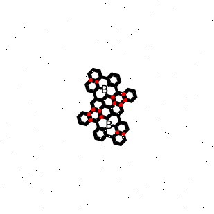 c1ccc(-c2cccc(-c3ccccc3)c2B2c3ccccc3-c3cc(-c4ccccc4)c4cc5c6c(cc(-c7ccccc7)c7cc2c3c4c76)-c2ccccc2B5c2c(-c3ccccc3)cccc2-c2ccccc2)cc1